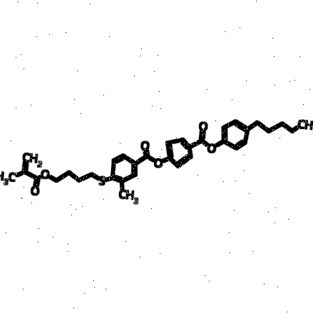 C=C(C)C(=O)OCCCCSc1ccc(C(=O)Oc2ccc(C(=O)Oc3ccc(CCCCC)cc3)cc2)cc1C